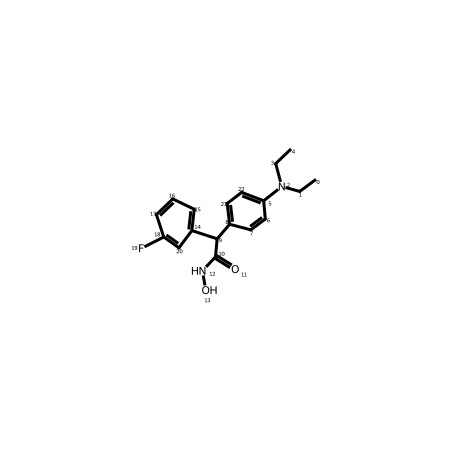 CCN(CC)c1ccc(C(C(=O)NO)c2cccc(F)c2)cc1